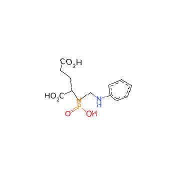 O=C(O)CCC(C(=O)O)C(CNc1ccccc1)[PH](=O)O